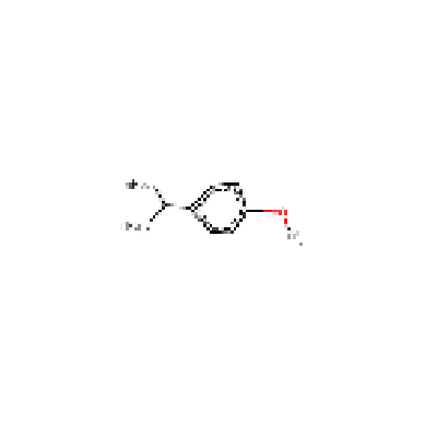 CCCCCCCC(CCCCC)c1ccc(OC(F)(F)F)cc1